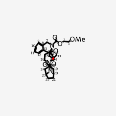 COCCOC(=O)N1Cc2ccccc2C2(CCN(C3CC4CCC(C3)N4C(=O)O[C@@H]3CCOC3)CC2)C1